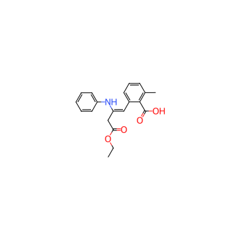 CCOC(=O)CC(=Cc1cccc(C)c1C(=O)O)Nc1ccccc1